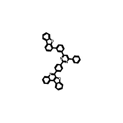 c1ccc(-c2cc(-c3cccc(-c4cccc5c4oc4ccccc45)c3)nc(-c3ccc(-c4nc5ccccc5c5c4oc4ccccc45)cc3)n2)cc1